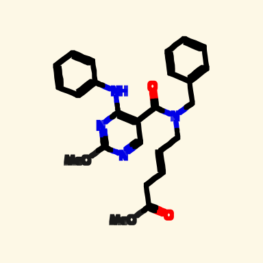 COC(=O)C/C=C/CN(Cc1ccccc1)C(=O)c1cnc(OC)nc1Nc1ccccc1